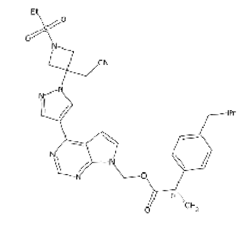 CCS(=O)(=O)N1CC(CC#N)(n2cc(-c3ncnc4c3ccn4COC(=O)[C@@H](C)c3ccc(CC(C)C)cc3)cn2)C1